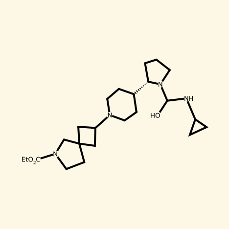 CCOC(=O)N1CCC2(CC(N3CCC([C@@H]4CCCN4C(O)NC4CC4)CC3)C2)C1